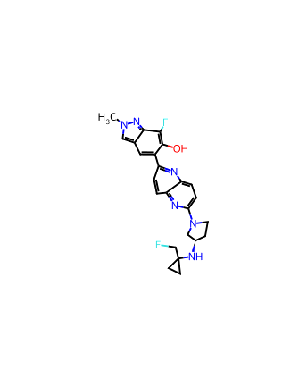 Cn1cc2cc(-c3ccc4nc(N5CC[C@@H](NC6(CF)CC6)C5)ccc4n3)c(O)c(F)c2n1